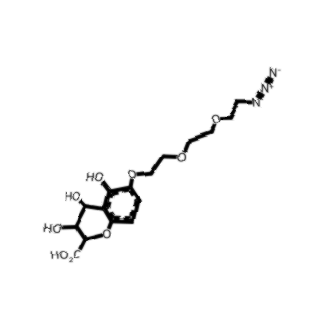 [N-]=[N+]=NCCOCCOCCOc1ccc2c(c1O)C(O)C(O)C(C(=O)O)O2